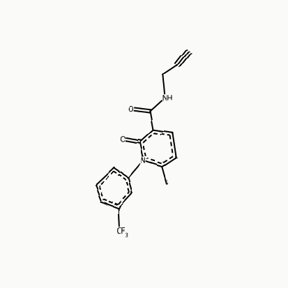 C#CCNC(=O)c1ccc(C)n(-c2cccc(C(F)(F)F)c2)c1=O